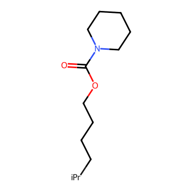 CC(C)CCCCOC(=O)N1CCCCC1